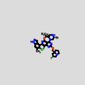 CC[C@@H]1CN2c3nc(OC[C@@]45CCCN4C[C@H](F)C5)nc4c(F)c(-c5c(Cl)c(C)cc6[nH]ncc56)nc(c34)O[C@@H](C)[C@@H]2CN1